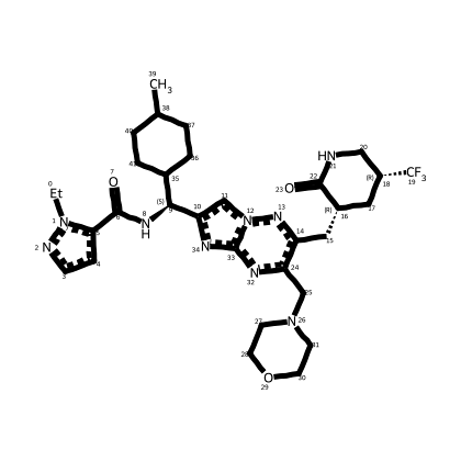 CCn1nccc1C(=O)N[C@H](c1cn2nc(C[C@H]3C[C@@H](C(F)(F)F)CNC3=O)c(CN3CCOCC3)nc2n1)C1CCC(C)CC1